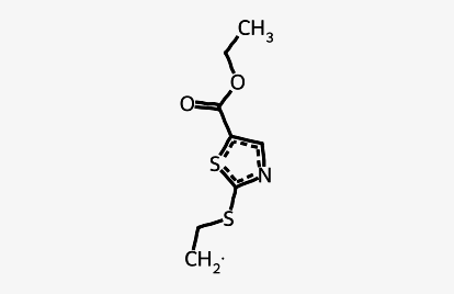 [CH2]CSc1ncc(C(=O)OCC)s1